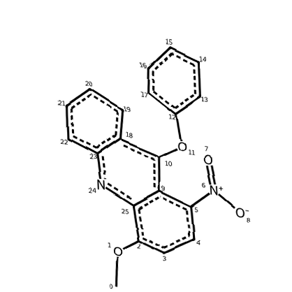 COc1ccc([N+](=O)[O-])c2c(Oc3ccccc3)c3ccccc3nc12